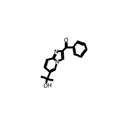 CC(C)(O)c1ccc2nc(C(=O)c3ccccc3)cn2c1